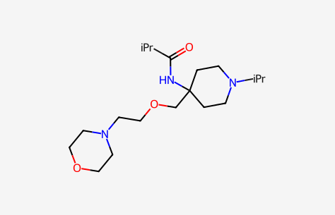 CC(C)C(=O)NC1(COCCN2CCOCC2)CCN(C(C)C)CC1